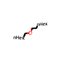 CCCCCCC[CH]OCCCCCCC